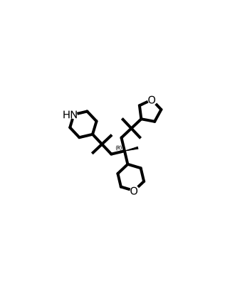 CC(C)(C[C@](C)(CC(C)(C)C1CCOC1)C1CCOCC1)C1CCNCC1